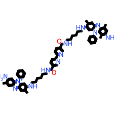 CC1=CC(=N/c2cc(C)c(N)cc2C)/C(=N/c2ccccc2)C=C1NCCCCCCNC(=O)c1ccc(-c2ccc(C(=O)NCCCCCCNc3cc4c(cc3C)nc3cc(C)c(N)cc3[n+]4-c3ccccc3)cn2)nc1